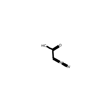 [CH]C(=O)C=[N+]=[N-]